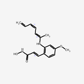 C=C/C=C\C=C(/C)Nc1cc(OC)ccc1/C=C/C(=O)NO